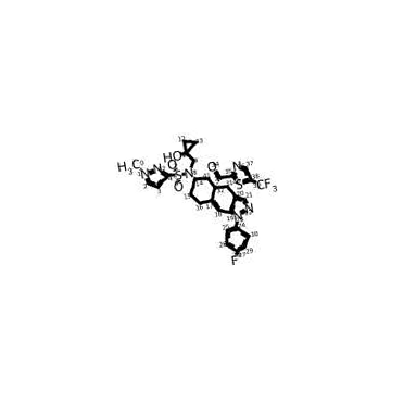 Cn1ccc(S(=O)(=O)N(CC2(O)CC2)[C@H]2CCC3=Cc4c(cnn4-c4ccc(F)cc4)C[C@]3(C(=O)c3ncc(C(F)(F)F)s3)C2)n1